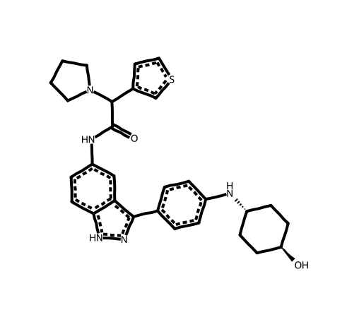 O=C(Nc1ccc2[nH]nc(-c3ccc(N[C@H]4CC[C@H](O)CC4)cc3)c2c1)C(c1ccsc1)N1CCCC1